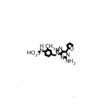 Cc1cc(Cn2nnc3c(-c4ccco4)nc(N)nc32)ccc1NS(=O)(=O)O